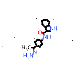 C/C(=N\N)c1ccc(NC(=O)c2c[nH]c3ccccc23)cc1